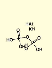 O=P(O)(O)OP(=O)(O)O.[AtH].[KH]